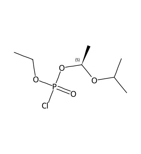 CCOP(=O)(Cl)O[C@@H](C)OC(C)C